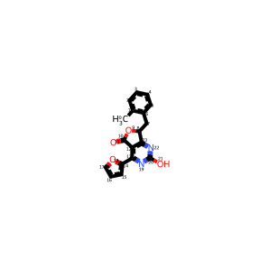 Cc1ccccc1CC1OC(=O)c2c(-c3ccco3)nc(O)nc21